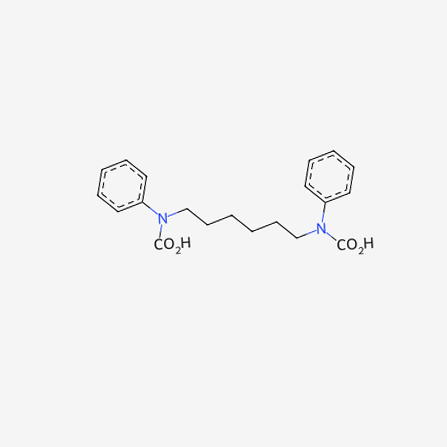 O=C(O)N(CCCCCCN(C(=O)O)c1ccccc1)c1ccccc1